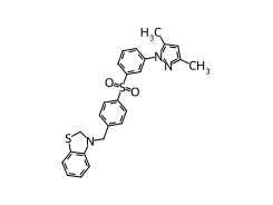 Cc1cc(C)n(-c2cccc(S(=O)(=O)c3ccc(CN4CSc5ccccc54)cc3)c2)n1